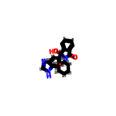 O=C1c2ccccc2C(O)(c2ccc3[nH][c]nc3c2)N1C1CCCCC1